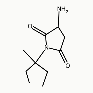 CCC(C)(CC)N1C(=O)CC(N)C1=O